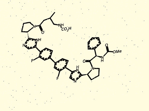 COC(=O)N[C@@H](C(=O)N1CCC[C@H]1c1ncc(-c2ccc(-c3ccc(-c4cnc([C@@H]5CCCN5C(=O)CC(C)CNC(=O)O)[nH]4)c(F)c3)cc2F)[nH]1)c1ccccc1